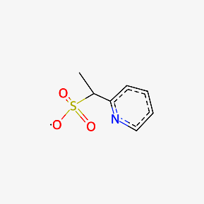 CC(c1ccccn1)S([O])(=O)=O